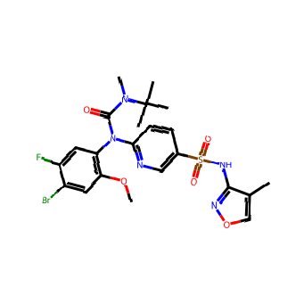 COc1cc(Br)c(F)cc1N(C(=O)N(C)C(C)(C)C)c1ccc(S(=O)(=O)Nc2nocc2C)cn1